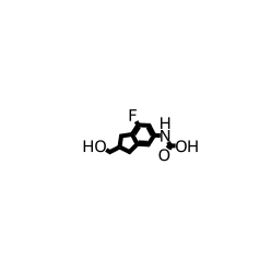 O=C(O)Nc1cc(F)c2c(c1)CC(CO)C2